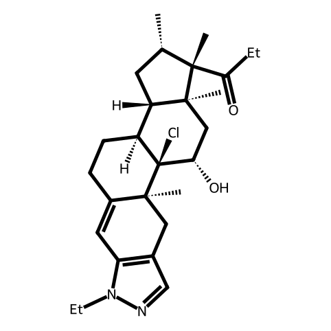 CCC(=O)[C@@]1(C)[C@@H](C)C[C@H]2[C@@H]3CCC4=Cc5c(cnn5CC)C[C@]4(C)[C@@]3(Cl)[C@@H](O)C[C@@]21C